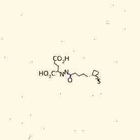 O=C(O)CCC(N=NC(=O)CCCC[C@@H]1CCS1=S)C(=O)O